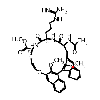 COC(=O)[C@@H]1CC=CCc2cc3ccccc3c(c2OC)-c2c(OC)c(cc3ccccc23)CC(NC(C)=O)C(=O)N[C@H](CCCNC(=N)N)C(=O)N1